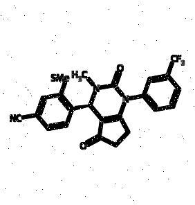 CSc1cc(C#N)ccc1[C@@H]1C2=C(CCC2=O)N(c2cccc(C(F)(F)F)c2)C(=O)N1C